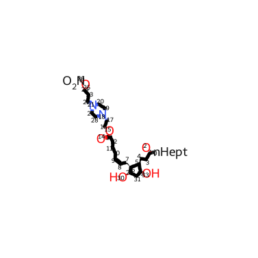 CCCCCCCC(=O)CC[C@@H]1[C@@H](C/C=C\CCCC(=O)OCCN2CCN(CCCO[N+](=O)[O-])CC2)[C@@H](O)C[C@H]1O